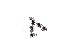 CC(C)(C)c1cc(CCC(=O)OCCOC(=O)NCCCCCCn2c(=O)n(CCCCCCN)c(=O)n(CCCCCCNC(=O)OCCOC(=O)CCc3cc(-n4nc5ccccc5n4)c(O)c(C(C)(C)C)c3)c2=O)cc(-n2nc3ccccc3n2)c1O